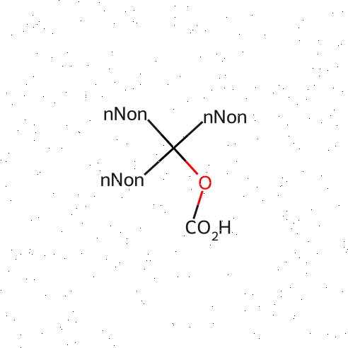 CCCCCCCCCC(CCCCCCCCC)(CCCCCCCCC)OC(=O)O